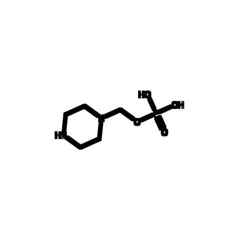 O=P(O)(O)OCN1CCNCC1